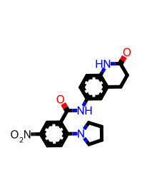 O=C1CCc2cc(NC(=O)c3cc([N+](=O)[O-])ccc3N3CCCC3)ccc2N1